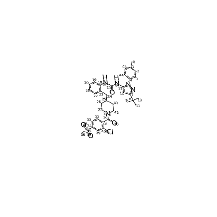 Cc1ccc(-n2nc(C(C)(C)C)cc2NC(=O)Nc2ccccc2CC2CCN(C(=O)c3ccc(S(C)(=O)=O)cc3Cl)CC2)cc1